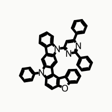 c1ccc(-c2cc(-n3c4ccccc4c4cc5c(cc43)c3c4c(ccc3n5-c3ccccc3)oc3ccccc34)nc(-c3ccccc3)n2)cc1